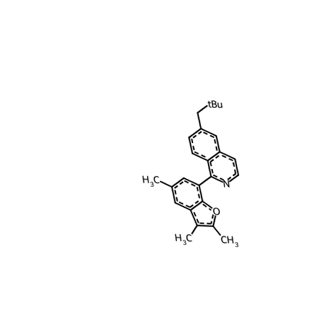 Cc1cc(-c2nccc3cc(CC(C)(C)C)ccc23)c2oc(C)c(C)c2c1